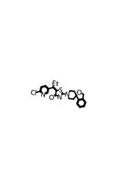 CC/C(=C1\SC(N2CCC3(CC2)OCc2ccccc23)=NC1=O)c1ccc(Cl)nc1